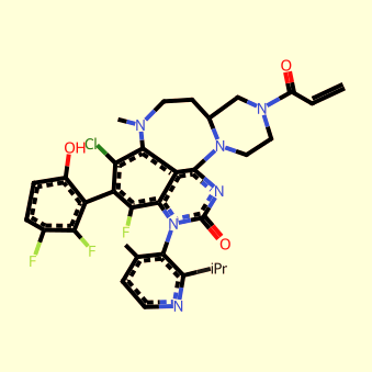 C=CC(=O)N1CCN2c3nc(=O)n(-c4c(C)ccnc4C(C)C)c4c(F)c(-c5c(O)ccc(F)c5F)c(Cl)c(c34)N(C)CCC2C1